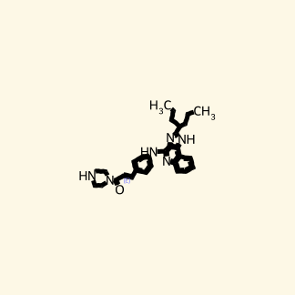 CCCC(CCC)c1nc2c(Nc3ccc(/C=C/C(=O)N4CCNCC4)cc3)nc3ccccc3c2[nH]1